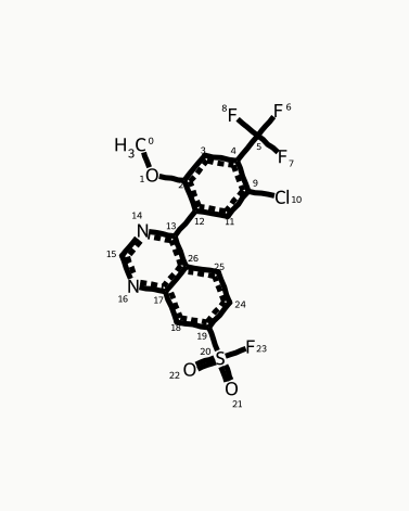 COc1cc(C(F)(F)F)c(Cl)cc1-c1ncnc2cc(S(=O)(=O)F)ccc12